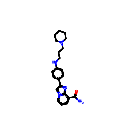 NC(=O)c1cccn2cc(-c3ccc(NCCCN4CCCCC4)cc3)nc12